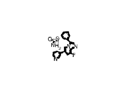 Fc1cc(-c2cccnc2)cn2c(-c3ccccc3)cnc12.N[SH](=O)=O